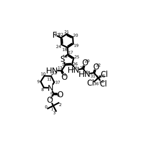 CC(C)(C)OC(=O)N1CCC[C@H](NC(=O)c2sc(-c3cccc(F)c3)cc2NC(=O)NC(=O)C(Cl)(Cl)Cl)C1